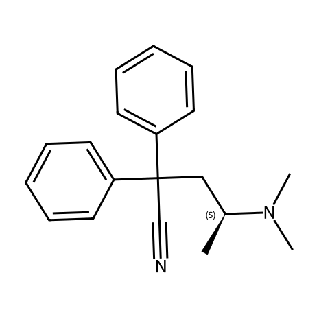 C[C@@H](CC(C#N)(c1ccccc1)c1ccccc1)N(C)C